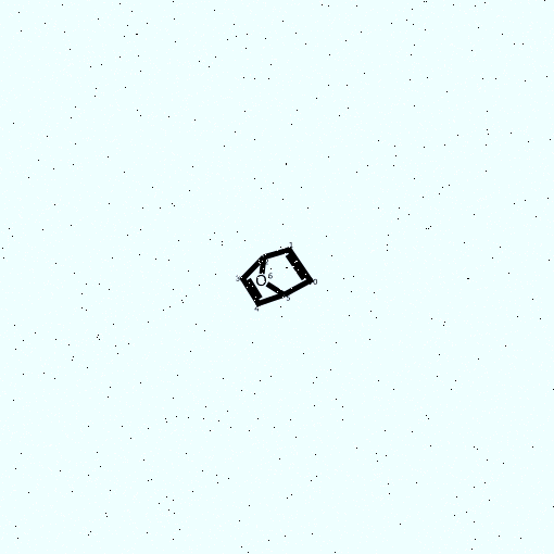 [C]1=CC2C=CC1O2